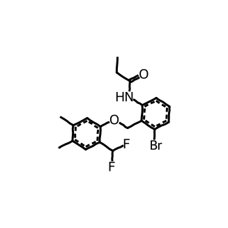 CCC(=O)Nc1cccc(Br)c1COc1cc(C)c(C)cc1C(F)F